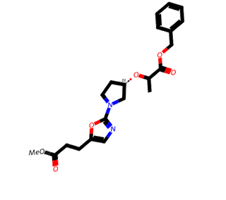 COC(=O)CCc1cnc(N2CC[C@H](OC(C)C(=O)OCc3ccccc3)C2)o1